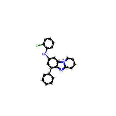 Clc1ccccc1Nc1cc(-c2ccccc2)c2nc3ccccn3c2c1